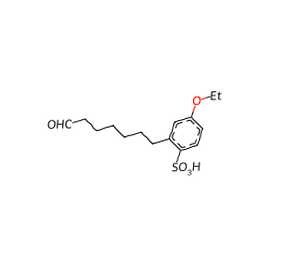 CCOc1ccc(S(=O)(=O)O)c(CCCCCCC=O)c1